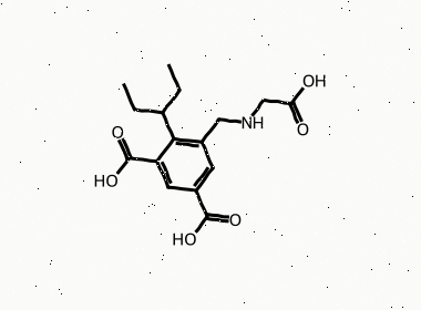 CCC(CC)c1c(CNCC(=O)O)cc(C(=O)O)cc1C(=O)O